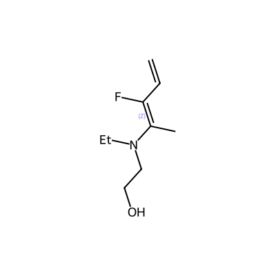 C=C/C(F)=C(\C)N(CC)CCO